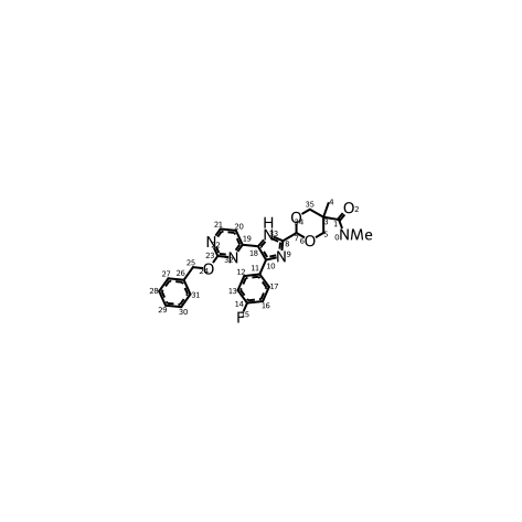 CNC(=O)C1(C)COC(c2nc(-c3ccc(F)cc3)c(-c3ccnc(OCc4ccccc4)n3)[nH]2)OC1